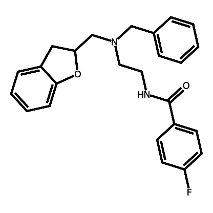 O=C(NCCN(Cc1ccccc1)CC1Cc2ccccc2O1)c1ccc(F)cc1